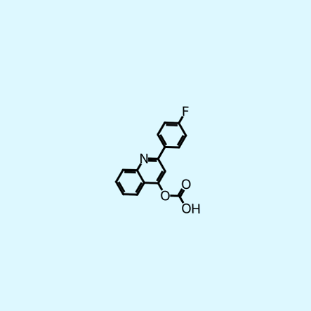 O=C(O)Oc1cc(-c2ccc(F)cc2)nc2ccccc12